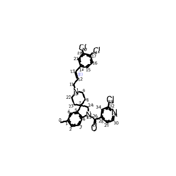 Cc1ccc2c(c1)C1(CCN(C/C=C/c3ccc(Cl)c(Cl)c3)CC1)CN2C(=O)c1ccnc(Cl)c1